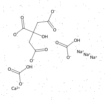 O=C([O-])CC(O)(CC(=O)[O-])C(=O)[O-].O=C([O-])O.O=C([O-])O.[Ca+2].[Na+].[Na+].[Na+]